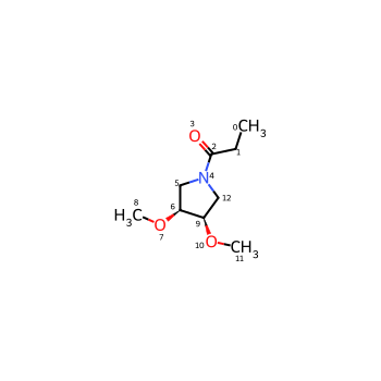 CCC(=O)N1C[C@H](OC)[C@H](OC)C1